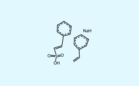 C=Cc1ccccc1.O=S(=O)(O)C=Cc1ccccc1.[NaH]